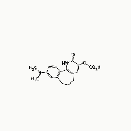 CN(C)c1ccc2c(c1)CCCc1cc(OC(=O)O)c(=O)[nH]c1-2